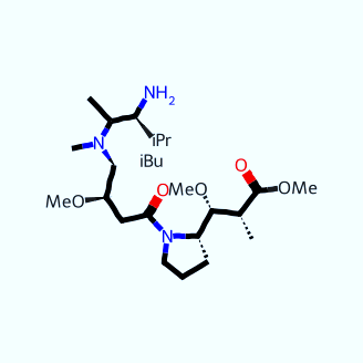 CC[C@H](C)[C@@H]([C@@H](CC(=O)N1CCC[C@H]1[C@H](OC)[C@@H](C)C(=O)OC)OC)N(C)C(C)[C@@H](N)C(C)C